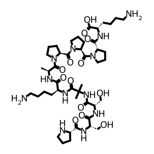 C[C@H](NC(=O)[C@H](CCCCN)NC(=O)C(C)(C)NC(=O)[C@H](CO)NC(=O)[C@H](CO)NC(=O)[C@@H]1CCCN1)C(=O)N1CCC[C@H]1C(=O)N1CCC[C@H]1C(=O)N1CCC[C@H]1C(=O)N[C@@H](CCCCN)C(=O)O